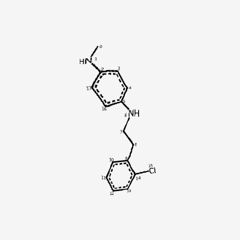 CNc1ccc(NCCc2ccccc2Cl)cc1